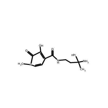 CCCC(C)(N)CCNC(=O)c1ccn(C)c(=O)c1O